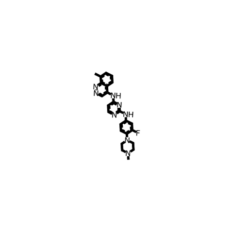 Cc1cccc2c(Nc3ccnc(Nc4ccc(N5CCN(C)CC5)c(F)c4)n3)cnnc12